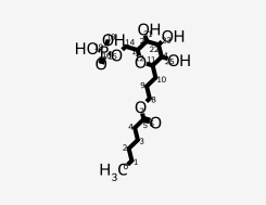 CCCCCC(=O)OCCCC1OC(COP(=O)(O)O)C(O)C(O)C1O